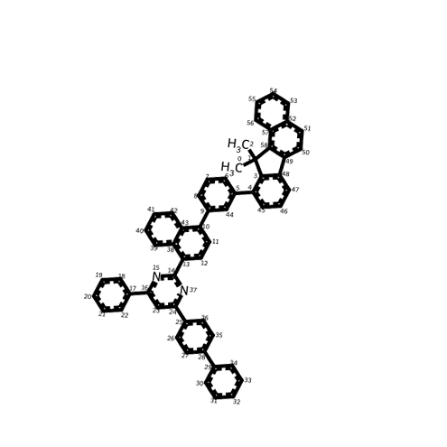 CC1(C)c2c(-c3cccc(-c4ccc(-c5nc(-c6ccccc6)cc(-c6ccc(-c7ccccc7)cc6)n5)c5ccccc45)c3)cccc2-c2ccc3ccccc3c21